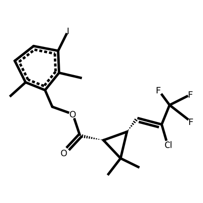 Cc1ccc(I)c(C)c1COC(=O)[C@@H]1[C@H](C=C(Cl)C(F)(F)F)C1(C)C